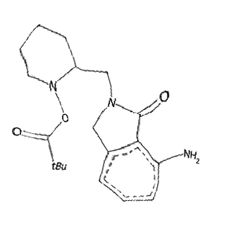 CC(C)(C)C(=O)ON1CCCCC1CN1Cc2cccc(N)c2C1=O